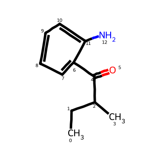 CCC(C)C(=O)c1ccccc1N